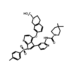 Cc1ccc(S(=O)(=O)n2cc(-c3ccnc(NC(=O)N4CCC(C)(C)CC4)c3)c3c(Oc4ccc5c(c4)CN(C(=O)O)CC5)ccnc32)cc1